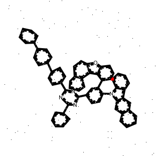 c1ccc(-c2ccc(-c3ccc(-c4nc(-c5ccccc5)nc(-c5ccc(-n6c7ccccc7c7cc8ccccc8cc76)c(-c6cccc7oc8ccc9ccccc9c8c67)c5)n4)cc3)cc2)cc1